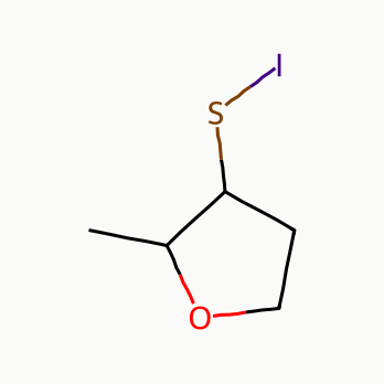 CC1OCCC1SI